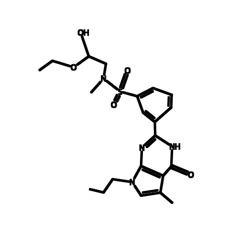 CCCn1cc(C)c2c(=O)[nH]c(-c3cccc(S(=O)(=O)N(C)CC(O)OCC)c3)nc21